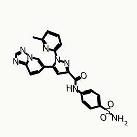 Cc1cccc(-n2nc(C(=O)Nc3ccc(S(N)(=O)=O)cc3)cc2-c2ccc3ncnn3c2)n1